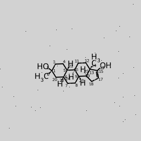 C[C@@]1(O)CC[C@H]2[C@H](CC[C@@H]3[C@@H]2CC[C@]2(C)C(O)=CC[C@@H]32)C1